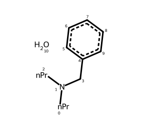 CCCN(CCC)Cc1ccccc1.O